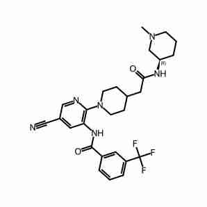 CN1CCC[C@@H](NC(=O)CC2CCN(c3ncc(C#N)cc3NC(=O)c3cccc(C(F)(F)F)c3)CC2)C1